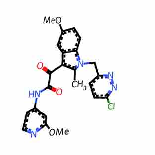 COc1ccc2c(c1)c(C(=O)C(=O)Nc1ccnc(OC)c1)c(C)n2Cc1ccc(Cl)nn1